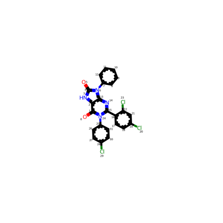 O=c1c2[nH]c(=O)n(-c3ccccc3)c2nc(-c2ccc(Cl)cc2Cl)n1-c1ccc(Cl)cc1